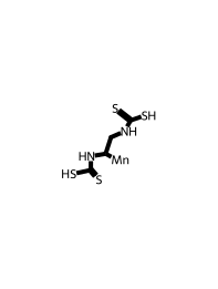 S=C(S)NC[CH]([Mn])NC(=S)S